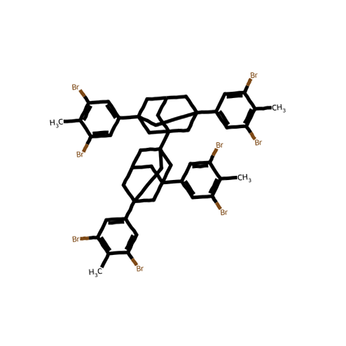 Cc1c(Br)cc(C23CC4CC(c5cc(Br)c(C)c(Br)c5)(C2)CC(C25CC6CC(c7cc(Br)c(C)c(Br)c7)(CC(c7cc(Br)c(C)c(Br)c7)(C6)C2)C5)(C4)C3)cc1Br